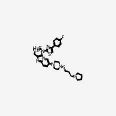 CCc1nc2ccc(N3CCN(SCCCN4CCCC4)CC3)cn2c1N(C)c1nc(-c2ccc(F)cc2)cs1